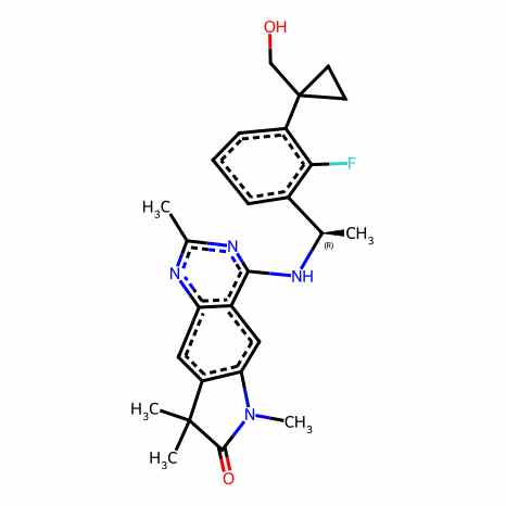 Cc1nc(N[C@H](C)c2cccc(C3(CO)CC3)c2F)c2cc3c(cc2n1)C(C)(C)C(=O)N3C